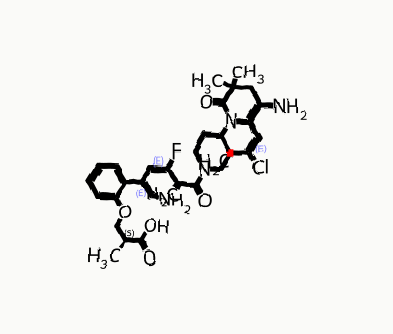 C=C/C(Cl)=C\C1=C(N)CC(C)(C)C(=O)N1C1CCN(C(=O)C(=C)/C(F)=C\C(=C/N)c2ccccc2OC[C@H](C)C(=O)O)CC1